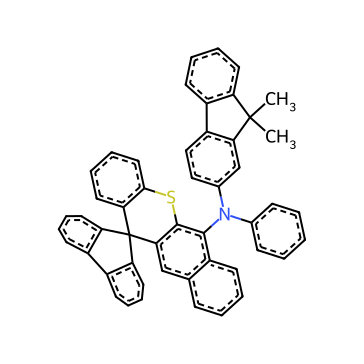 CC1(C)c2ccccc2-c2ccc(N(c3ccccc3)c3c4c(cc5ccccc35)C3(c5ccccc5S4)c4ccccc4-c4ccccc43)cc21